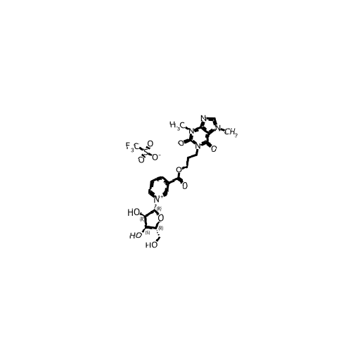 Cn1cnc2c1c(=O)n(CCCOC(=O)c1ccc[n+]([C@@H]3O[C@H](CO)[C@@H](O)[C@H]3O)c1)c(=O)n2C.O=S(=O)([O-])C(F)(F)F